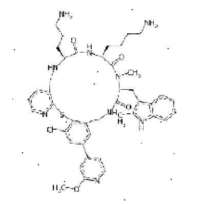 COc1cc(-c2cc(Cl)c3c(c2)CNC(=O)[C@H](Cc2c(C)[nH]c4ccccc24)N(C)C(=O)[C@H](CCCCN)NC(=O)[C@H](CCCN)NCc2cccnc2S3)ccn1